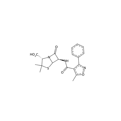 Cc1onc(-c2ccccc2)c1C(=O)N[C@@H]1C(=O)N2C1SC(C)(C)[C@@H]2C(=O)O